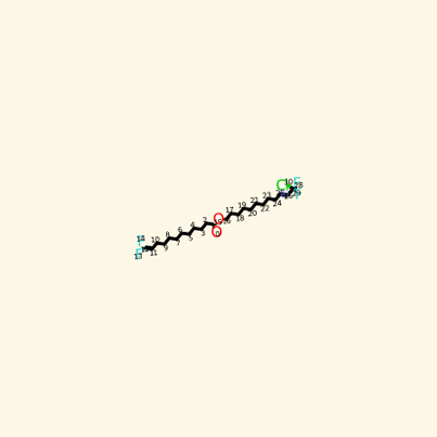 O=C(CCCCCCCCCC=C(F)F)OCCCCCCCCC/C=C/C(F)(F)Cl